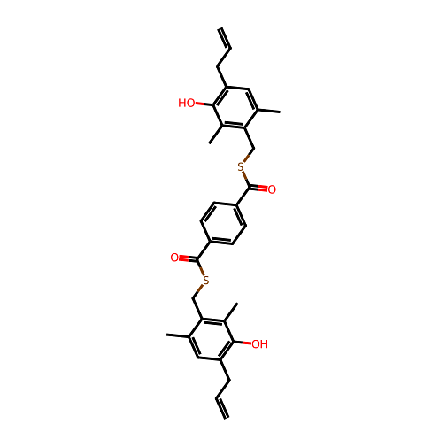 C=CCc1cc(C)c(CSC(=O)c2ccc(C(=O)SCc3c(C)cc(CC=C)c(O)c3C)cc2)c(C)c1O